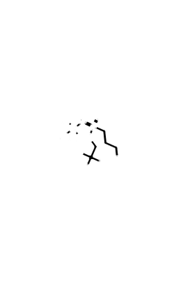 C[Si](C)(C)N=S(=O)(CCCCl)OCC(F)(F)F